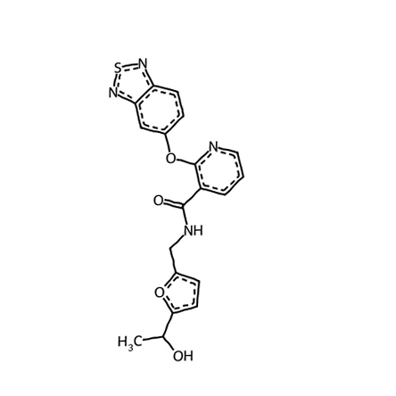 CC(O)c1ccc(CNC(=O)c2cccnc2Oc2ccc3nsnc3c2)o1